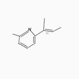 C/C=C(\C)c1cccc(C)n1